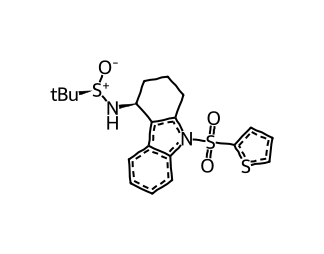 CC(C)(C)[S@@+]([O-])N[C@H]1CCCc2c1c1ccccc1n2S(=O)(=O)c1cccs1